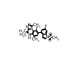 Cc1cc(-c2cc(F)cc3c2ccn3S(C)(=O)=O)c(F)c2c1NC(C)(C)c1nnc(C)n1-2